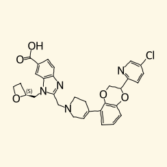 O=C(O)c1ccc2nc(CN3CC=C(c4cccc5c4OCC(c4ccc(Cl)cn4)O5)CC3)n(C[C@@H]3CCO3)c2c1